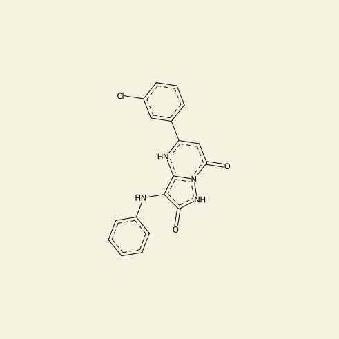 O=c1[nH]n2c(=O)cc(-c3cccc(Cl)c3)[nH]c2c1Nc1ccccc1